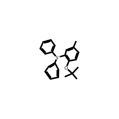 Cc1ccc(OC(C)(C)C)c([S+](c2ccccc2)c2ccccc2)c1